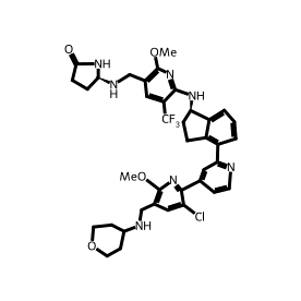 COc1nc(N[C@@H]2CCc3c(-c4cc(-c5nc(OC)c(CNC6CCOCC6)cc5Cl)ccn4)cccc32)c(C(F)(F)F)cc1CN[C@H]1CCC(=O)N1